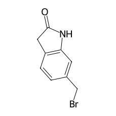 O=C1Cc2ccc(CBr)cc2N1